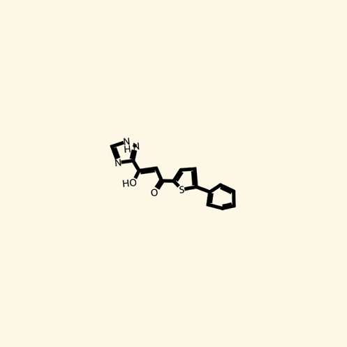 O=C(C=C(O)c1nc[nH]n1)c1ccc(-c2ccccc2)s1